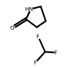 FC(F)F.O=C1CCCN1